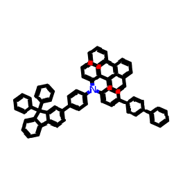 c1ccc(-c2ccc(-c3ccc(N(c4ccc(-c5ccc6c(c5)C(c5ccccc5)(c5ccccc5)c5ccccc5-6)cc4)c4ccccc4-c4cccc5cccc(-c6ccccc6)c45)cc3)cc2)cc1